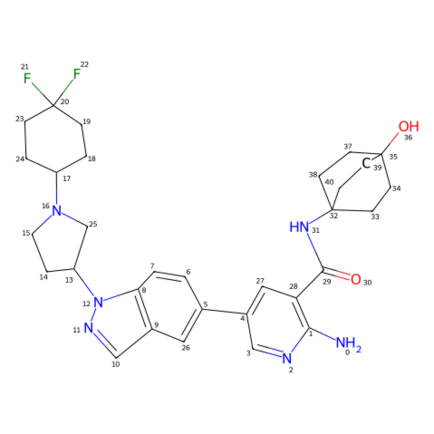 Nc1ncc(-c2ccc3c(cnn3C3CCN(C4CCC(F)(F)CC4)C3)c2)cc1C(=O)NC12CCC(O)(CC1)CC2